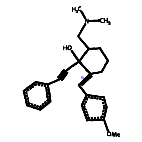 COc1ccc(/C=C2\CCCC(CN(C)C)C2(O)C#Cc2ccccc2)cc1